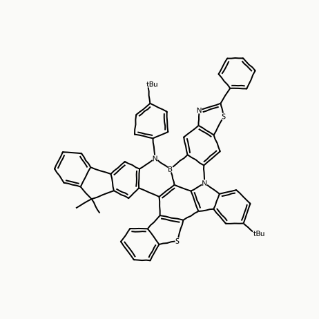 CC(C)(C)c1ccc(N2B3c4cc5nc(-c6ccccc6)sc5cc4-n4c5ccc(C(C)(C)C)cc5c5c6sc7ccccc7c6c(c3c54)-c3cc4c(cc32)-c2ccccc2C4(C)C)cc1